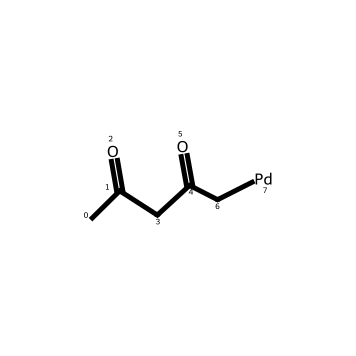 CC(=O)CC(=O)[CH2][Pd]